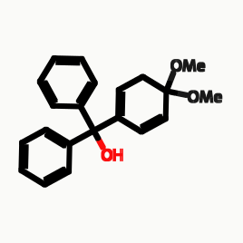 COC1(OC)C=CC(C(O)(c2ccccc2)c2ccccc2)=CC1